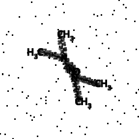 CCCCCCCCCN(CCCCCCCCC)CCC1CCN(C(=O)CN(CCCCCCCCC)CCCCCCCCC)CC1